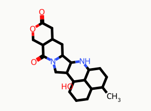 CC1CCC2NC3C4CC5CC(=O)OCC5C(=O)N4CC3C3(O)CCCC1C23